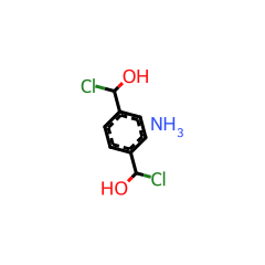 N.OC(Cl)c1ccc(C(O)Cl)cc1